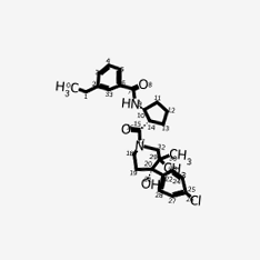 CCc1cccc(C(=O)N[C@@H]2CCC[C@@H]2C(=O)N2CC[C@](O)(c3ccc(Cl)cc3)C(C)(C)C2)c1